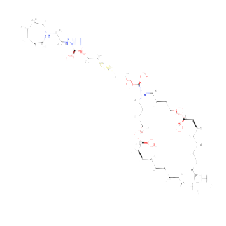 CCCCCC/C=C\C(=O)OCCCCN(CCCCOC(=O)/C=C\CCCCCC)C(=O)OCCSSCCOC(=O)NCCN1CCCCCC1